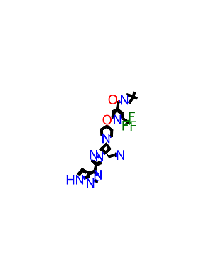 CC1(C)CN(C(=O)c2cc(OC3CCN([C@H]4C[C@](CC#N)(n5cc(-c6ncnc7[nH]ccc67)cn5)C4)CC3)nc(C(F)(F)F)c2)C1